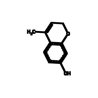 CC1=CCOc2cc(O)ccc21